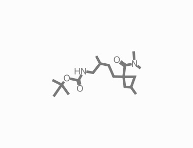 CC(CCC1(C(=O)N(C)C)CC(C)C1)CNC(=O)OC(C)(C)C